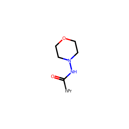 [CH2]CCC(=O)NN1CCOCC1